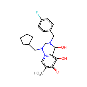 O=C(O)c1cn2c(c(O)c1=O)C(O)N(Cc1ccc(F)cc1)CN2CC1CCCC1